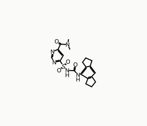 CN(C)C(=O)c1cc(S(=O)(=O)NC(=O)Nc2c3c(cc4c2CCC4)CCC3)ncn1